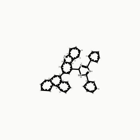 c1ccc(C2=NC(c3cc(-c4cc5ccccc5c5ccccc45)cc4oc5ccccc5c34)NC(c3ccccc3)=N2)cc1